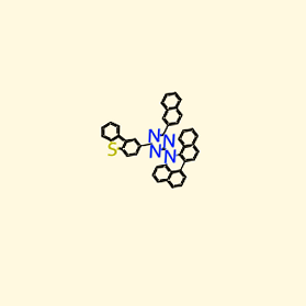 c1ccc2cc(-c3nc(-c4ccc5sc6ccccc6c5c4)nc(N4c5c(ccc6ccccc56)-c5cccc6cccc4c56)n3)ccc2c1